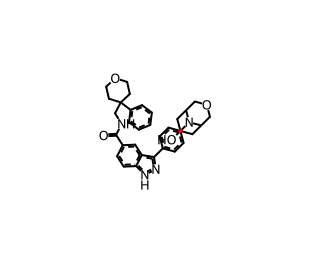 O=C(NCC1(c2ccccc2)CCOCC1)c1ccc2[nH]nc(-c3ccc(N4C5COCC4CC(O)C5)cc3)c2c1